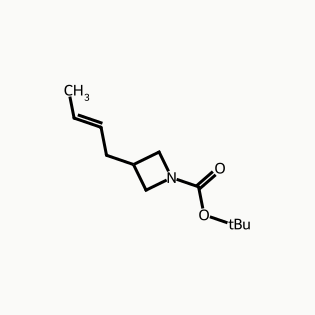 C/C=C/CC1CN(C(=O)OC(C)(C)C)C1